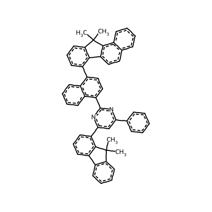 CC1(C)c2ccccc2-c2cccc(-c3cc(-c4ccccc4)nc(-c4ccc(-c5cccc6c5-c5ccc7ccccc7c5C6(C)C)c5ccccc45)n3)c21